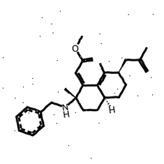 C=C(C)C[C@H]1CC[C@H]2CC[C@](C)(NCc3ccccc3)/C(=C/C(=C)OC)C2=C1C